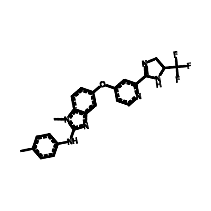 Cc1ccc(Nc2nc3cc(Oc4ccnc(C5=NCC(C(F)(F)F)N5)c4)ccc3n2C)cc1